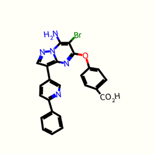 Nc1c(Br)c(Oc2ccc(C(=O)O)cc2)nc2c(-c3ccc(-c4ccccc4)nc3)cnn12